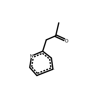 CC(=O)Cc1c[c]ccn1